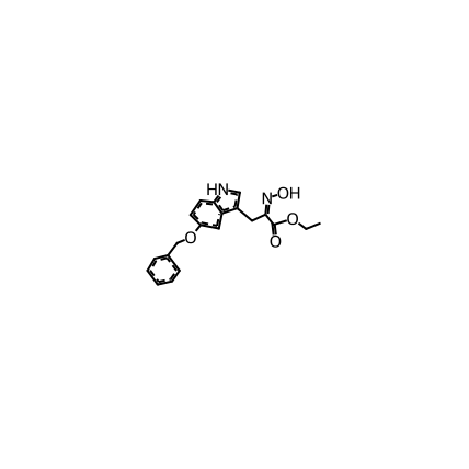 CCOC(=O)C(Cc1c[nH]c2ccc(OCc3ccccc3)cc12)=NO